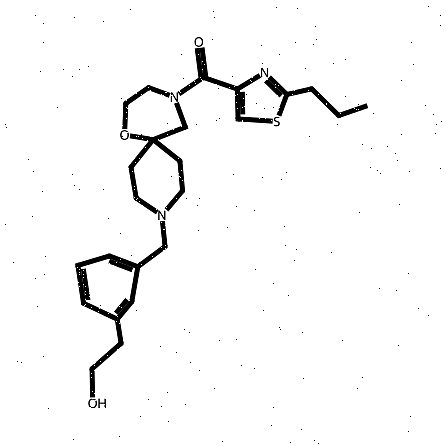 CCCc1nc(C(=O)N2CCOC3(CCN(Cc4cccc(CCO)c4)CC3)C2)cs1